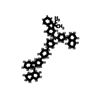 CC1(C)c2ccccc2-c2ccc(N(c3ccc(-c4ccc(-c5ccc6c(c5)c5ccccc5n6-c5cccc6ccccc56)cc4)cc3)c3ccc(-c4cccc5ccccc45)cc3)cc21